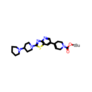 CC(C)(C)OC(=O)N1CC=C(c2cnc3nc(N4CCC(N5CCCCC5)CC4)sc3c2)CC1